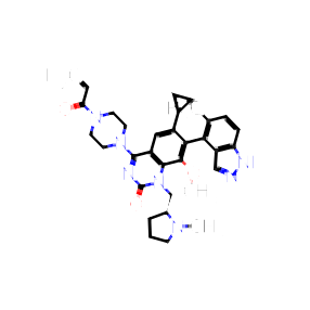 C=CC(=O)N1CCN(c2nc(=O)n(C[C@@H]3CCCN3C)c3c(OC)c(-c4c(C)ccc5[nH]ncc45)c(C4CC4)cc23)CC1